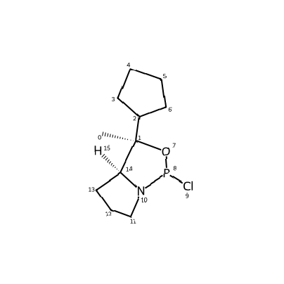 C[C@]1(C2CCCC2)OP(Cl)N2CCC[C@H]21